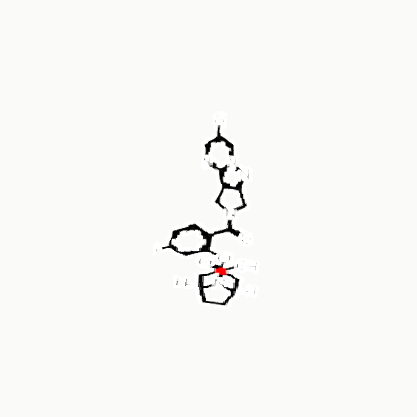 O=C(c1ccc(F)cc1O[C@H]1C[C@H]2CC[C@@H](C1)N2C(=O)O)N1Cc2nn3cc(Cl)cnc3c2C1